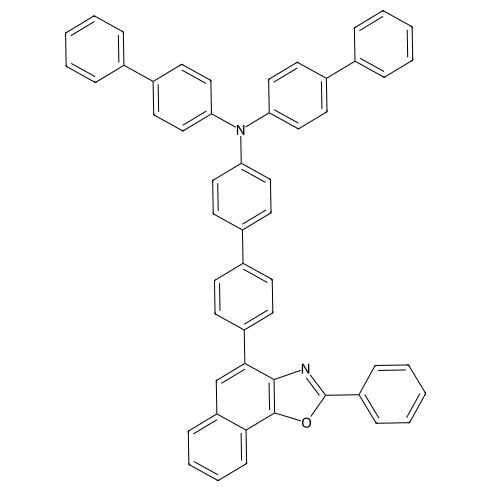 c1ccc(-c2ccc(N(c3ccc(-c4ccccc4)cc3)c3ccc(-c4ccc(-c5cc6ccccc6c6oc(-c7ccccc7)nc56)cc4)cc3)cc2)cc1